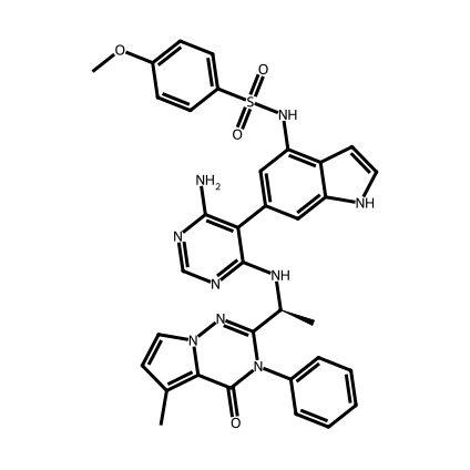 COc1ccc(S(=O)(=O)Nc2cc(-c3c(N)ncnc3N[C@@H](C)c3nn4ccc(C)c4c(=O)n3-c3ccccc3)cc3[nH]ccc23)cc1